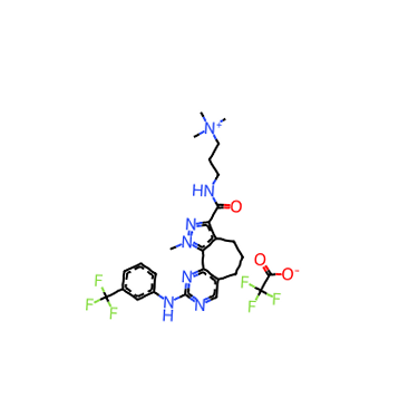 Cn1nc(C(=O)NCCC[N+](C)(C)C)c2c1-c1nc(Nc3cccc(C(F)(F)F)c3)ncc1CCC2.O=C([O-])C(F)(F)F